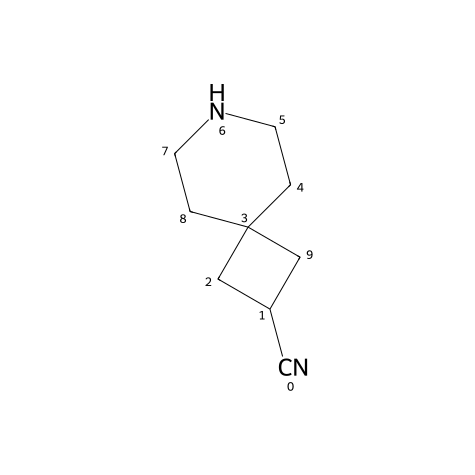 N#CC1CC2(CCNCC2)C1